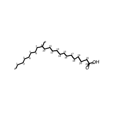 CCCCCCCCC(C)CCCCCCCCCCCCC(=O)O